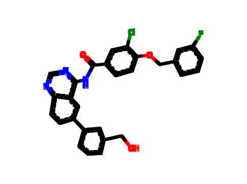 O=C(Nc1ncnc2ccc(-c3cccc(CO)c3)cc12)c1ccc(OCc2cccc(F)c2)c(Cl)c1